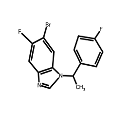 CC(c1ccc(F)cc1)n1cnc2cc(F)c(Br)cc21